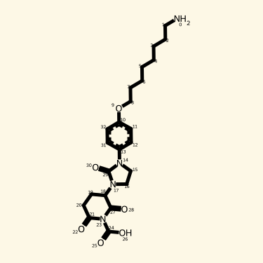 NCCCCCCCCOc1ccc(N2CCN(C3CCC(=O)N(C(=O)O)C3=O)C2=O)cc1